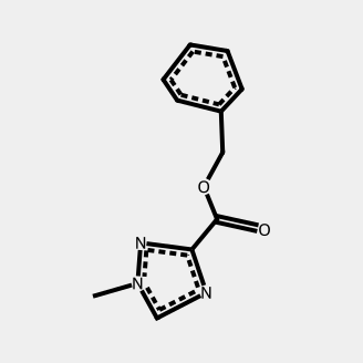 Cn1cnc(C(=O)OCc2ccccc2)n1